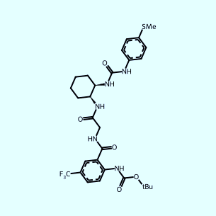 CSc1ccc(NC(=O)N[C@@H]2CCCC[C@@H]2NC(=O)CNC(=O)c2cc(C(F)(F)F)ccc2NC(=O)OC(C)(C)C)cc1